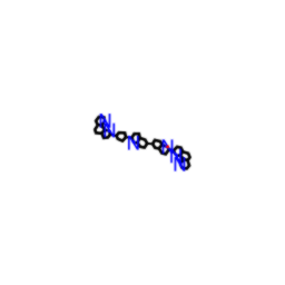 c1cnc2c(c1)ccc1ccc(-c3ccc(-c4ccc5cc(-c6ccc7nc(-c8ccc9ccc%10cccnc%10c9n8)ccc7c6)ccc5n4)cc3)nc12